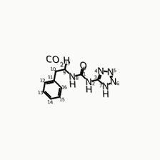 O=C(Nc1nnn[nH]1)NC(Cc1ccccc1)C(=O)O